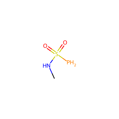 CNS(=O)(=O)P